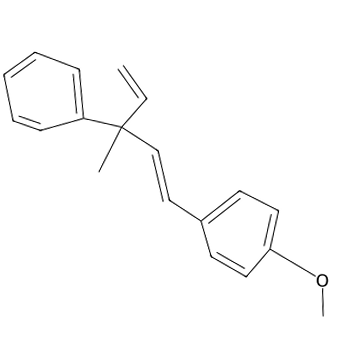 C=CC(C)(/C=C/c1ccc(OC)cc1)c1ccccc1